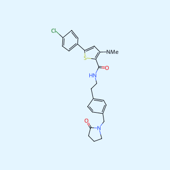 CNc1cc(-c2ccc(Cl)cc2)sc1C(=O)NCCc1ccc(CN2CCCC2=O)cc1